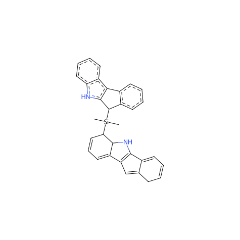 C[Si](C)(C1c2ccccc2-c2c1[nH]c1ccccc21)C1C=CC=C2C3=C(NC21)C1=CC=CCC1=C3